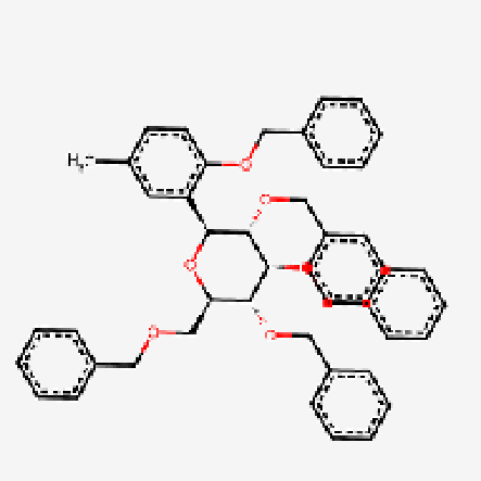 Cc1ccc(OCc2ccccc2)c([C@@H]2O[C@H](COCc3ccccc3)[C@@H](OCc3ccccc3)[C@H](OCc3ccccc3)[C@H]2OCc2ccccc2)c1